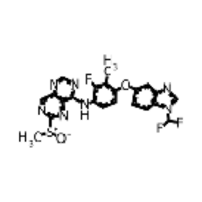 Cc1c(Oc2ccc3c(c2)ncn3C(F)F)ccc(Nc2ncnc3cnc([S+](C)[O-])nc23)c1F